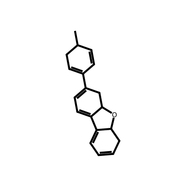 CC1C=CC(C2=CC=C3C4=CC=CCC4OC3C2)=CC1